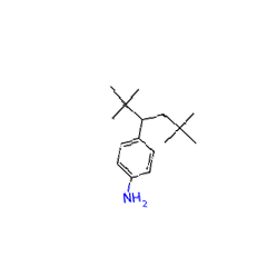 CC(C)(C)CC(c1ccc(N)cc1)C(C)(C)C